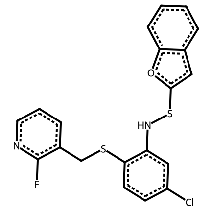 Fc1ncccc1CSc1ccc(Cl)cc1NSc1cc2ccccc2o1